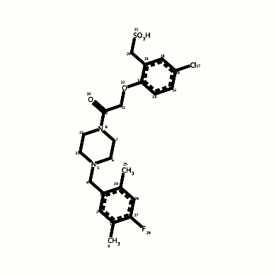 Cc1cc(CN2CCN(C(=O)COc3ccc(Cl)cc3CS(=O)(=O)O)CC2)c(C)cc1F